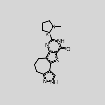 CN1CCC[C@@H]1c1nc2c3c(sc2c(=O)[nH]1)-c1c[nH]nc1CCC3